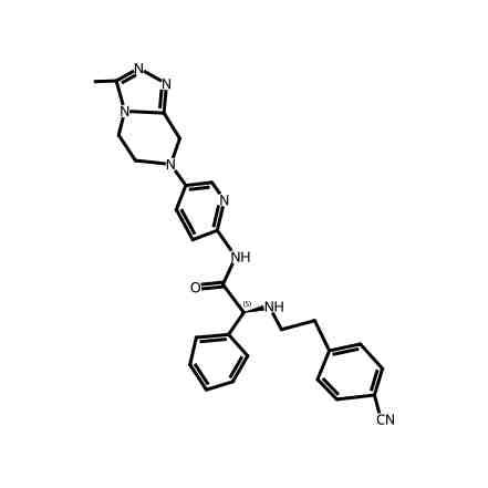 Cc1nnc2n1CCN(c1ccc(NC(=O)[C@@H](NCCc3ccc(C#N)cc3)c3ccccc3)nc1)C2